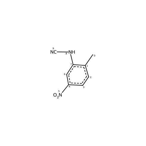 Cc1ccc([N+](=O)[O-])cc1NC#N